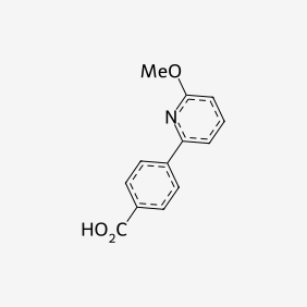 COc1cccc(-c2ccc(C(=O)O)cc2)n1